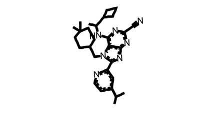 CC(C)c1ccnc(-c2nc3nc(C#N)nc(NC(C)C4CCC4)c3n2CC2CCC(C)(C)CC2)c1